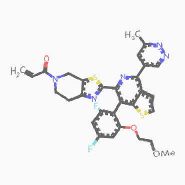 C=CC(=O)N1CCc2nc(-c3nc(-c4cnnc(C)c4)c4ccsc4c3-c3c(F)cc(F)cc3OCCOC)sc2C1